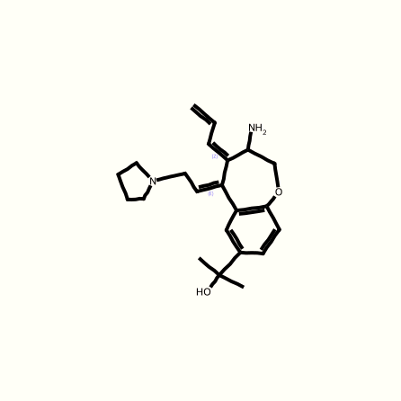 C=C/C=C1/C(=C\CN2CCCC2)c2cc(C(C)(C)O)ccc2OCC1N